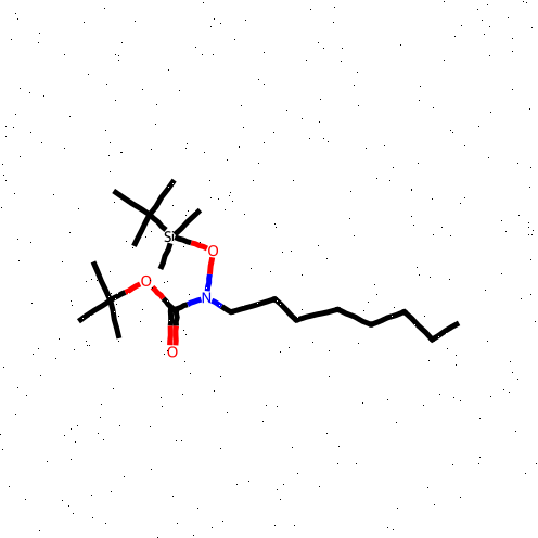 CCCCCCCCN(O[Si](C)(C)C(C)(C)C)C(=O)OC(C)(C)C